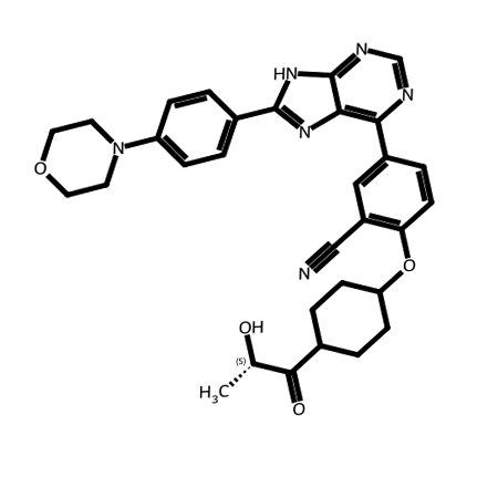 C[C@H](O)C(=O)C1CCC(Oc2ccc(-c3ncnc4[nH]c(-c5ccc(N6CCOCC6)cc5)nc34)cc2C#N)CC1